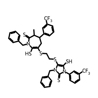 CC1C(=S)N(Cc2ccccc2)C(S)=C(SCCSc2c(S)n(-c3cccc(C(F)(F)F)c3)c(=S)n2Cc2ccccc2)CC1c1cccc(C(F)(F)F)c1